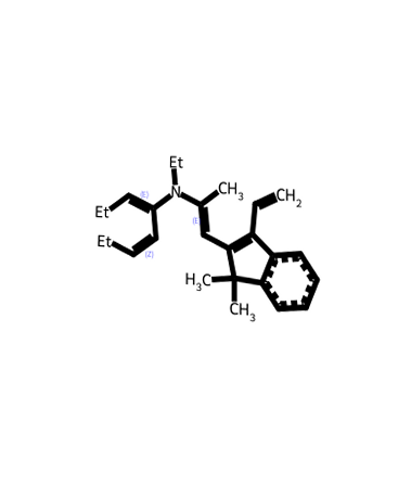 C=CC1=C(/C=C(\C)N(CC)C(/C=C\CC)=C/CC)C(C)(C)c2ccccc21